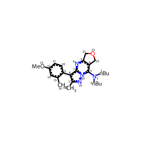 CCCCN(CCCC)c1c2c(nc3c(-c4ccc(OC)cc4C)c(C)nn13)COC2